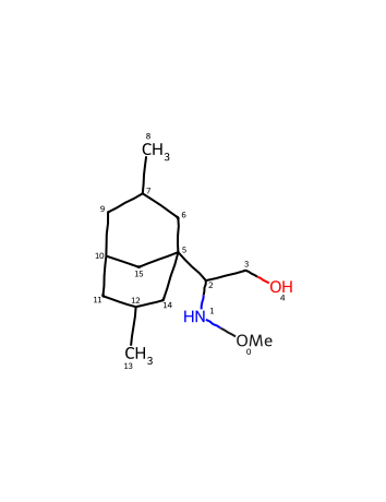 CONC(CO)C12CC(C)CC(CC(C)C1)C2